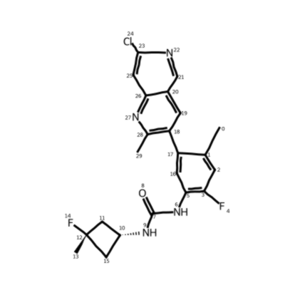 Cc1cc(F)c(NC(=O)N[C@H]2C[C@@](C)(F)C2)cc1-c1cc2cnc(Cl)cc2nc1C